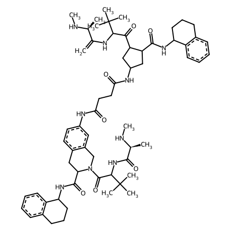 C=C(NC(C(=O)C1CC(NC(=O)CCC(=O)Nc2ccc3c(c2)CN(C(=O)C(NC(=O)[C@H](C)NC)C(C)(C)C)C(C(=O)NC2CCCc4ccccc42)C3)CC1C(=O)NC1CCCc2ccccc21)C(C)(C)C)[C@H](C)NC